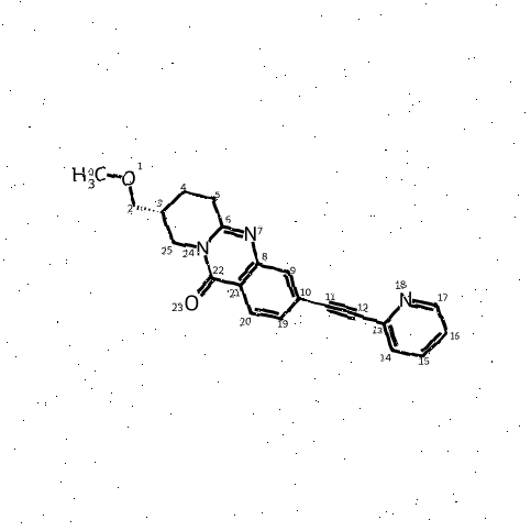 COC[C@@H]1CCc2nc3cc(C#Cc4ccccn4)ccc3c(=O)n2C1